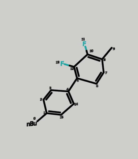 CCCCc1ccc(-c2ccc(C)c(F)c2F)cc1